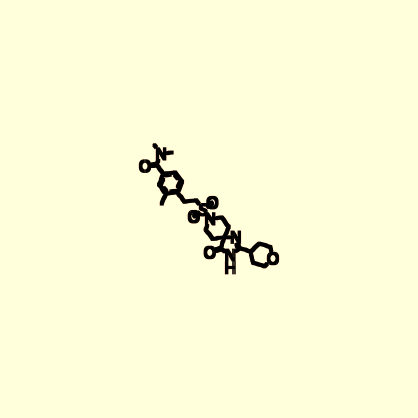 Cc1cc(C(=O)N(C)C)ccc1CCS(=O)(=O)N1CCC2(CC1)N=C(C1CCOCC1)NC2=O